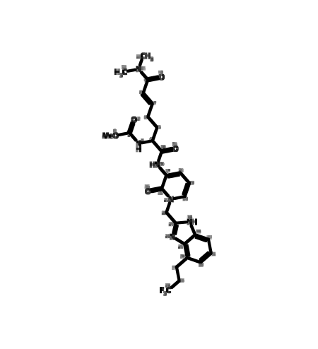 COC(=O)NC(CCC=CC(=O)N(C)C)C(=O)Nc1cccn(Cc2nc3c(CCC(F)(F)F)cccc3[nH]2)c1=O